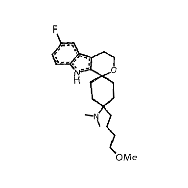 COCCCCC1(N(C)C)CCC2(CC1)OCCc1c2[nH]c2ccc(F)cc12